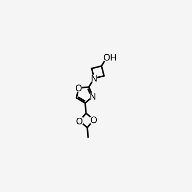 CC1OC(c2coc(N3CC(O)C3)n2)O1